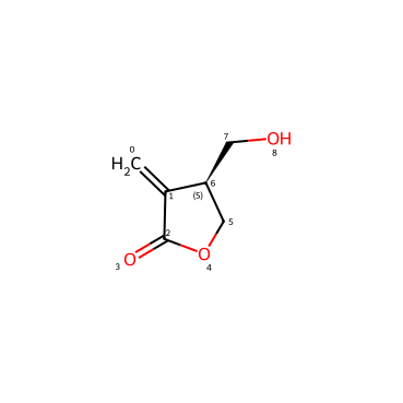 C=C1C(=O)OC[C@@H]1CO